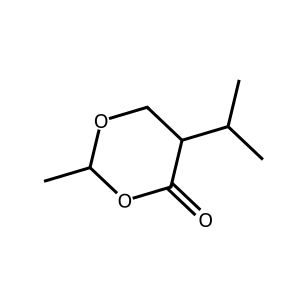 CC1OCC(C(C)C)C(=O)O1